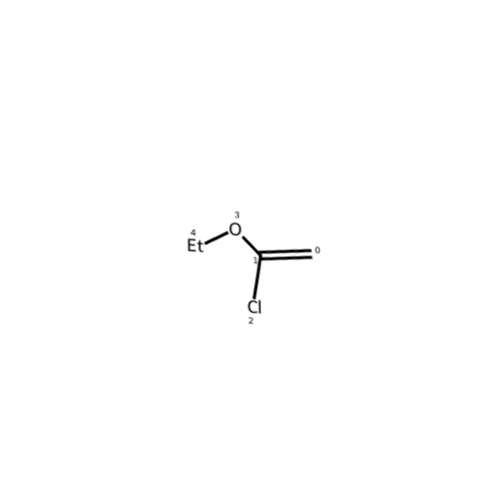 C=C(Cl)OCC